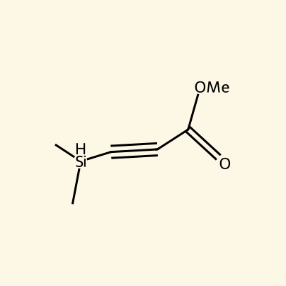 COC(=O)C#C[SiH](C)C